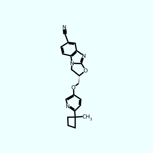 CC1(c2ccc(OC[C@@H]3Cn4c(nc5cc(C#N)ccc54)O3)cn2)CCC1